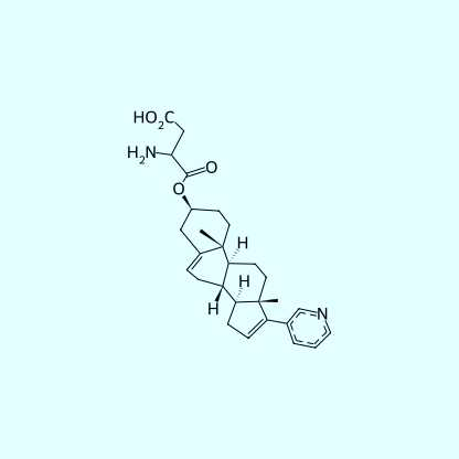 C[C@]12CC[C@H](OC(=O)C(N)CC(=O)O)CC1=CC[C@@H]1[C@@H]2CC[C@]2(C)C(c3cccnc3)=CC[C@@H]12